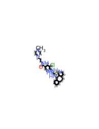 CN1CCN(CCCNC(=O)c2cnc(NNC(=S)NC3c4ccccc4CCc4ccncc43)c(Cl)c2)CC1